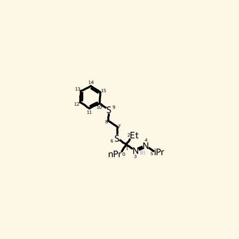 CCCC(CC)(/N=N/C(C)C)SCCSc1ccccc1